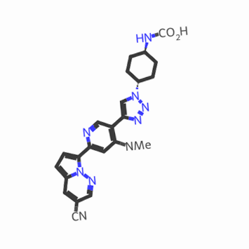 CNc1cc(-c2ccc3cc(C#N)cnn23)ncc1-c1cn([C@H]2CC[C@H](NC(=O)O)CC2)nn1